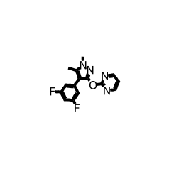 Cc1c(-c2cc(F)cc(F)c2)c(Oc2ncccn2)nn1C